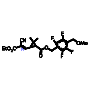 CCOC(=O)/C(C#N)=C/C1C(C(=O)OCc2c(F)c(F)c(COC)c(F)c2F)C1(C)C